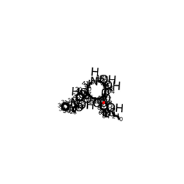 CCCSC[C@]1(O)[C@H](C)O[C@@H](O[C@H]2[C@H](C)[C@@H](O[C@@H]3O[C@H](C)C[C@H](N(C)C(=O)N(C)c4ccccc4)[C@H]3O)[C@](C)(O)C[C@@H](C)CN[C@H](C)[C@@H](O)[C@](C)(O)[C@@H](CC)OC(=O)[C@@H]2C)C[C@@]1(C)OC